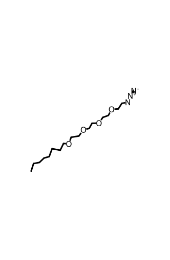 CCCCCCCCOCCOCCOCCOCCN=[N+]=[N-]